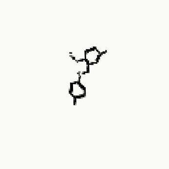 Cc1ccc(NCc2cc(C)ccc2N=O)cc1